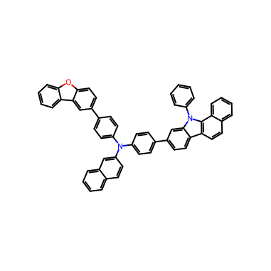 c1ccc(-n2c3cc(-c4ccc(N(c5ccc(-c6ccc7oc8ccccc8c7c6)cc5)c5ccc6ccccc6c5)cc4)ccc3c3ccc4ccccc4c32)cc1